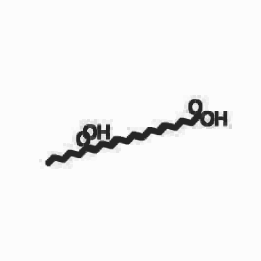 CCCCCC(=CCC=CCC=CCC=CCCCC(=O)O)OO